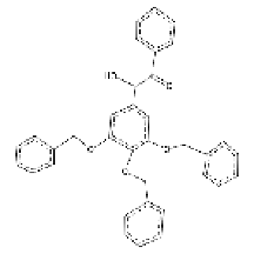 O=C(c1ccccc1)C(O)c1cc(OCc2ccccc2)c(OCc2ccccc2)c(OCc2ccccc2)c1